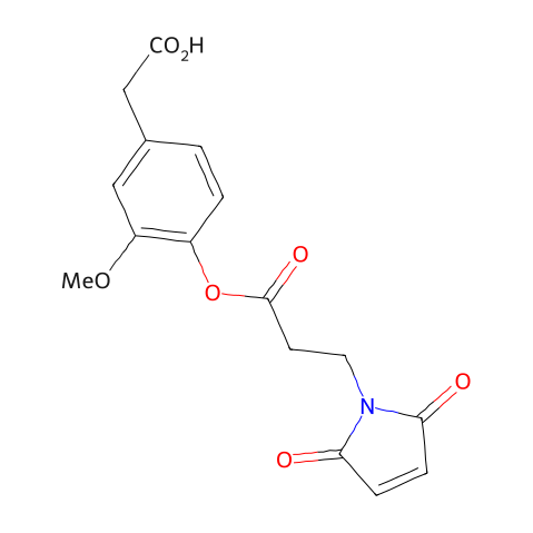 COc1cc(CC(=O)O)ccc1OC(=O)CCN1C(=O)C=CC1=O